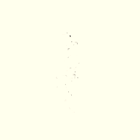 C#CCN=C1CCc2c1n(C)c1ccc(OC(=O)NC)cc21